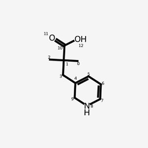 CC(C)(CC1=CC=CNC1)C(=O)O